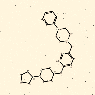 c1ccc(N2CCN(Cc3cnc(OC4CCN(C5CCCC5)CC4)nc3)CC2)cc1